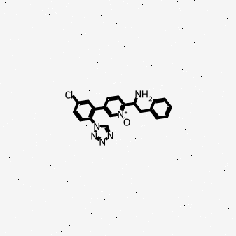 NC(Cc1ccccc1)c1ccc(-c2cc(Cl)ccc2-n2cnnn2)c[n+]1[O-]